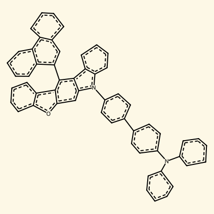 c1ccc(N(c2ccccc2)c2ccc(-c3ccc(-n4c5ccccc5c5c(-c6cc7ccccc7c7ccccc67)c6c(cc54)oc4ccccc46)cc3)cc2)cc1